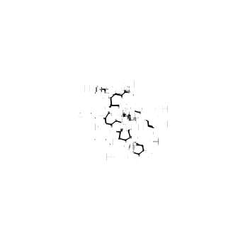 CC(=O)NC1C(OC2C(CO)OC(OC3C(OP(=O)(O)OCC(OCC=C(C)C)C(=O)O)OC(C(N)=O)C(C)(O)C3OC(N)=O)C(NC(C)=O)C2O)OC(C)C(OC2OC(C(=O)O)C(O)C(O)C2O)C1O